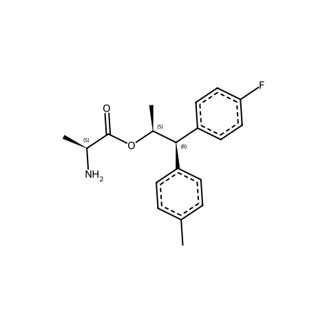 Cc1ccc([C@H](c2ccc(F)cc2)[C@H](C)OC(=O)[C@H](C)N)cc1